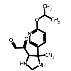 CC(C)Oc1ccc(C2(C)NCNC2C(=O)C=O)cn1